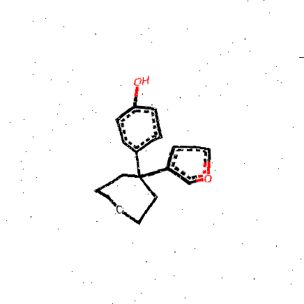 Oc1ccc(C2(c3ccoc3)CCCCC2)cc1